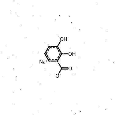 O=C([O-])c1cccc(O)c1O.[Na+]